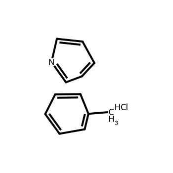 Cc1ccccc1.Cl.c1ccncc1